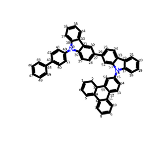 C1=CCC2C(=C1)c1ccccc1-c1ccc(-n3c4ccccc4c4ccc(-c5ccc6c(c5)c5ccccc5n6-c5ccc(-c6ccccc6)cc5)cc43)cc12